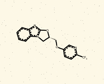 FC(F)(F)c1ccc(OC[C@@H]2Cn3c(nc4ccccc43)O2)cn1